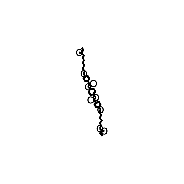 C=CC(=O)CCCCCCCOc1ccc(C(=O)Oc2ccc(OC(=O)c3ccc(OCCCCCCOC(=O)C=C)cc3)cc2)cc1